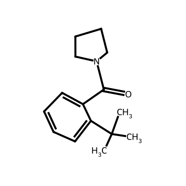 CC(C)(C)c1ccccc1C(=O)N1CCCC1